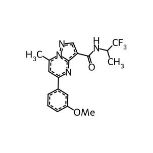 COc1cccc(-c2cc(C)n3ncc(C(=O)NC(C)C(F)(F)F)c3n2)c1